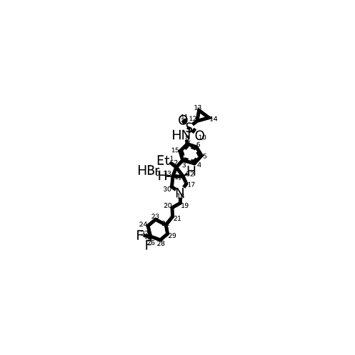 Br.CCC1(c2cccc(NS(=O)(=O)C3CC3)c2)[C@@H]2CN(CCCC3CCC(F)(F)CC3)C[C@@H]21